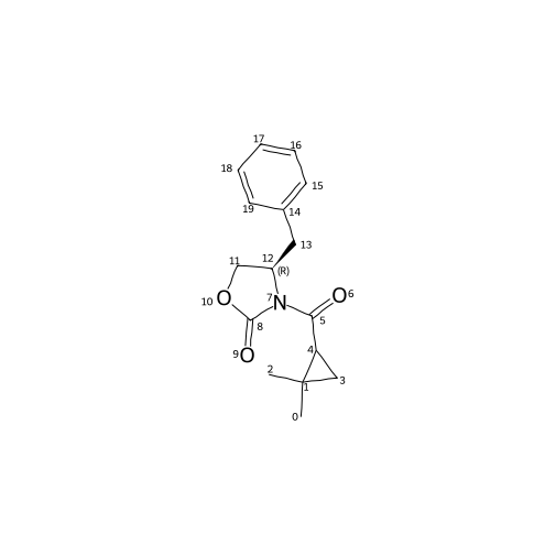 CC1(C)CC1C(=O)N1C(=O)OC[C@H]1Cc1ccccc1